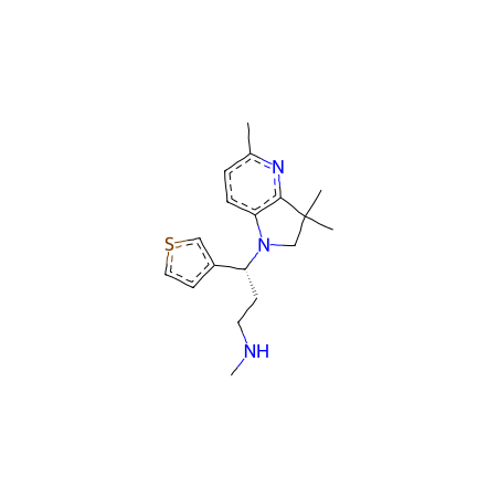 CNCC[C@H](c1ccsc1)N1CC(C)(C)c2nc(C)ccc21